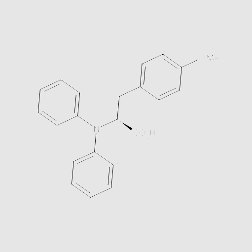 COc1ccc(C[C@@H](C(=O)O)N(c2ccccc2)c2ccccc2)cc1